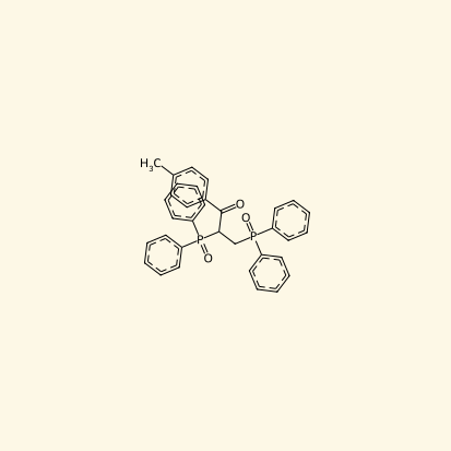 Cc1ccc(C(=O)C(CP(=O)(c2ccccc2)c2ccccc2)P(=O)(c2ccccc2)c2ccccc2)cc1